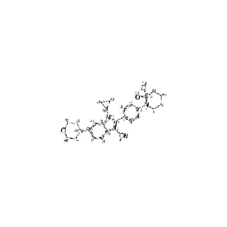 N#Cc1c(-c2ccc(N3CCCCS3(=O)=O)cc2)n(C2CC2)c2cc(N3CCOCC3)ccc12